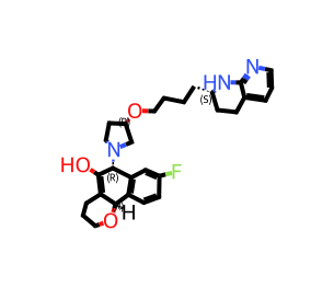 OC1=C2CCCO[C@@H]2c2ccc(F)cc2[C@H]1N1CC[C@@H](OCCCC[C@H]2CCc3cccnc3N2)C1